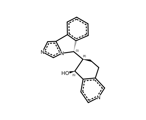 O[C@@H]1c2ccncc2CC[C@@H]1[C@H]1c2ccccc2-c2cncn21